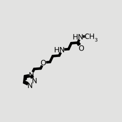 CNC(=O)CCNCCCOCCn1ccnn1